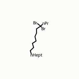 [CH2]CCC(Br)(Br)CCCCCCCCCCCCCC